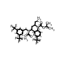 CCC1CC(N(Cc2cc(C(F)(F)F)cc(C(F)(F)F)c2)C(C)=O)c2nc(C(F)(F)F)ccc2N1C(=O)OC(C)C